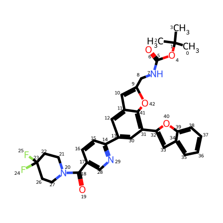 CC(C)(C)OC(=O)NCc1cc2cc(-c3ccc(C(=O)N4CCC(F)(F)CC4)cn3)cc(-c3cc4ccccc4o3)c2o1